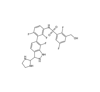 O=S(=O)(Nc1ccc(F)c(-c2ccc3c(c2F)NNC3C2NCCN2)c1F)c1cc(F)cc(CO)c1F